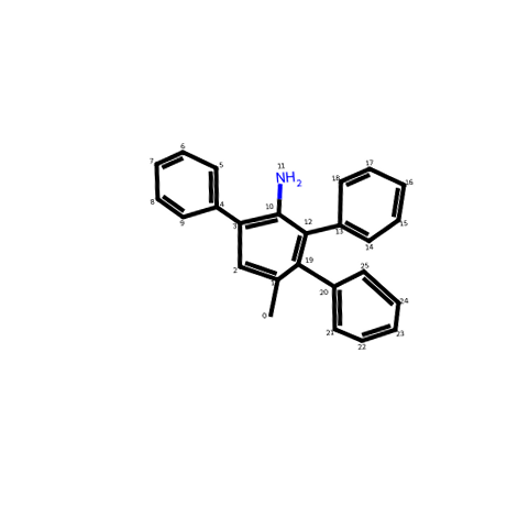 Cc1cc(-c2ccccc2)c(N)c(-c2ccccc2)c1-c1ccccc1